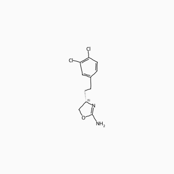 NC1=N[C@@H](CCc2ccc(Cl)c(Cl)c2)CO1